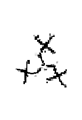 CC(C)(C)[CH2][Bi]([CH2]C(C)(C)C)[CH2]C(C)(C)C